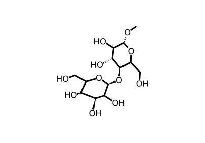 CO[C@@H]1OC(CO)[C@@H](O[C@@H]2OC(CO)[C@H](O)[C@H](O)C2O)[C@H](O)C1O